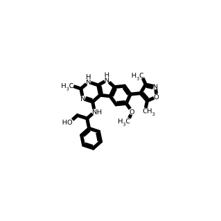 COc1cc2c3c([nH]c2cc1-c1c(C)noc1C)NC(C)N=C3NC(CO)c1ccccc1